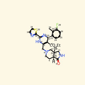 CCOC(=O)C1=C(CN2CC[C@H]3C(=O)NC[C@H]3C2)NC(c2nccs2)=N[C@H]1c1cccc(F)c1C